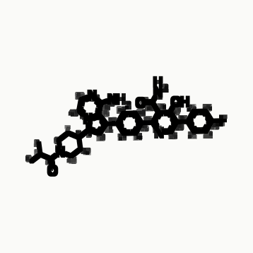 CC(C)C(=O)N1CCC(c2cc(-c3ccc(-c4ncc(-c5ccc(F)cc5)c(O)c4C(N)=O)cc3)c3c(N)nccn23)CC1